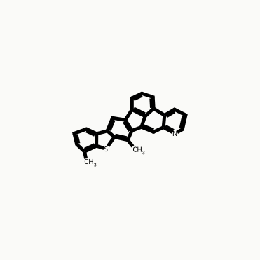 Cc1cccc2c1sc1c(C)c3c(cc12)-c1cccc2c1c-3cc1ncccc12